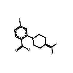 O=C(Cl)c1ccc(I)cc1N1CCC(=C(F)F)CC1